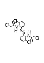 O=C(CCl)Nc1c(Cl)cccc1SSc1cccc(Cl)c1NC(=O)CCl